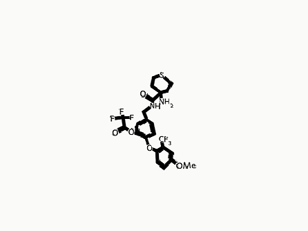 COc1ccc(Oc2ccc(CNC(=O)C3(N)CCSCC3)cc2)c(C(F)(F)F)c1.O=C(O)C(F)(F)F